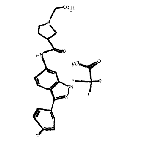 O=C(O)C(F)(F)F.O=C(O)CN1CCC(C(=O)Nc2ccc3c(-c4ccc(F)cc4)n[nH]c3c2)C1